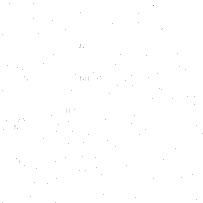 Cc1c(S(=O)(=O)Nc2ccon2)ncc(C(=O)N2CCC(c3ccc(F)cc3)CC2)c1Nc1cc(F)ccc1F